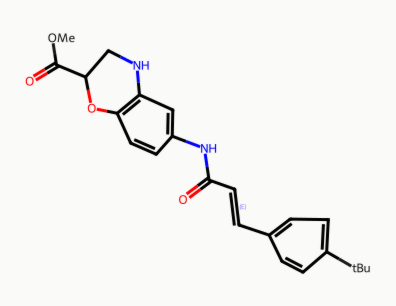 COC(=O)C1CNc2cc(NC(=O)/C=C/c3ccc(C(C)(C)C)cc3)ccc2O1